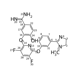 CN1CCN=C1c1cccc(Oc2nc(Oc3cc(C(=N)N)ccc3O)c(F)cc2F)c1